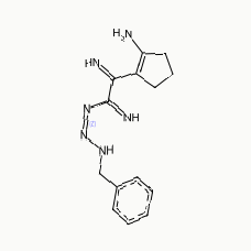 N=C(/N=N\NCc1ccccc1)C(=N)C1=C(N)CCC1